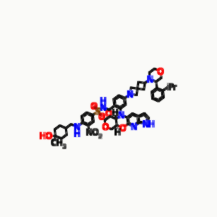 CC(C)c1ccccc1[C@@H]1COCCN1C1CC2(C1)CN(c1ccc(C(=O)NS(=O)(=O)c3ccc(NCC4CCC(C)(O)CC4)c([N+](=O)[O-])c3)c(N3c4cc5cc[nH]c5nc4O[C@H]4COCC[C@@H]43)c1)C2